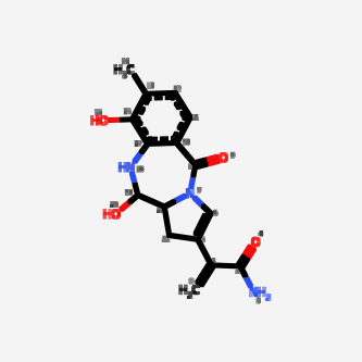 C=C(C(N)=O)C1=CN2C(=O)c3ccc(C)c(O)c3NC(O)C2C1